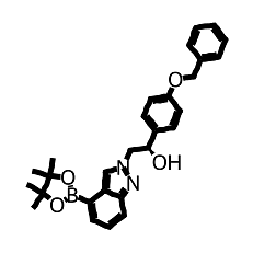 CC1(C)OB(c2cccc3nn(C[C@H](O)c4ccc(OCc5ccccc5)cc4)cc23)OC1(C)C